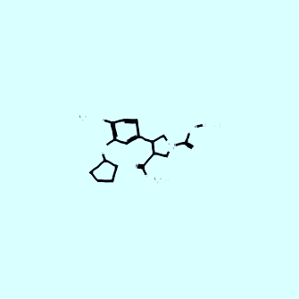 COC(=O)C1CN(C(=O)OC(C)(C)C)CC1c1ccc(OC)c(OC2CCCC2)c1